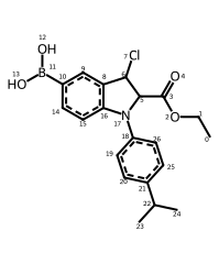 CCOC(=O)C1C(Cl)c2cc(B(O)O)ccc2N1c1ccc(C(C)C)cc1